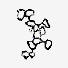 C1=Cc2cnccc2C(C2=CC3=C(c4ccccc4)NC(/C=C4/c5ccc(-c6cccc7cnccc67)cc5C(c5ccccc5)N4B4OCCO4)[C@@H]3C=C2)S1